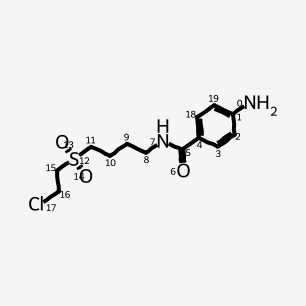 Nc1ccc(C(=O)NCCCCS(=O)(=O)CCCl)cc1